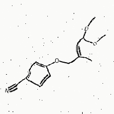 COC(C=C(C)COc1ccc(C#N)cc1)OC